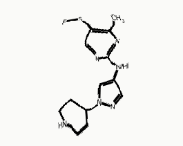 Cc1nc(Nc2cnn(C3CCNCC3)c2)ncc1SF